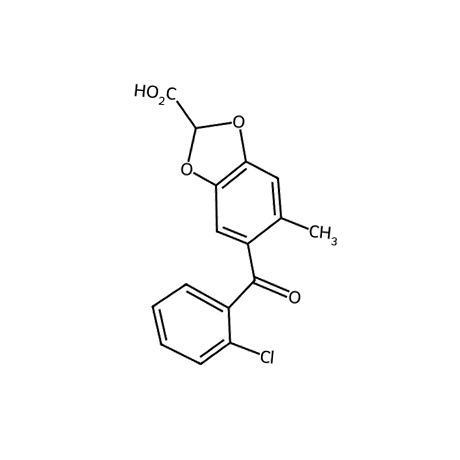 Cc1cc2c(cc1C(=O)c1ccccc1Cl)OC(C(=O)O)O2